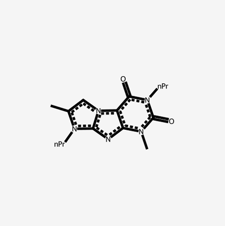 CCCn1c(=O)c2c(nc3n(CCC)c(C)cn23)n(C)c1=O